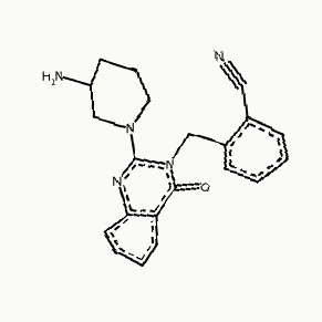 N#Cc1ccccc1Cn1c(N2CCCC(N)C2)nc2ccccc2c1=O